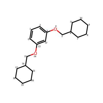 [c]1ccc(OCC2CCCCC2)cc1OCC1CCCCC1